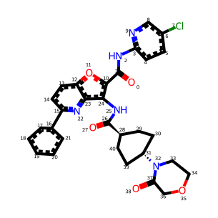 O=C(Nc1ccc(Cl)cn1)c1oc2ccc(-c3ccccc3)nc2c1NC(=O)[C@H]1CC[C@H](N2CCOCC2=O)CC1